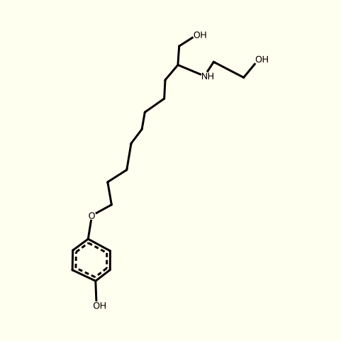 OCCNC(CO)CCCCCCCCOc1ccc(O)cc1